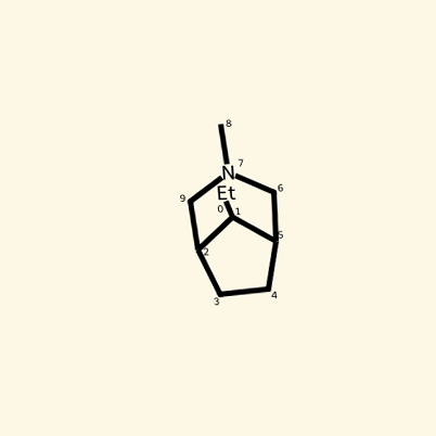 CCC1C2CCC1CN(C)C2